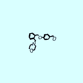 O=Cc1ccc(OCc2ccccc2CN2CCOCC2)cc1